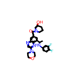 CC(Nc1ccc(F)c(F)c1)c1cc(C(=O)N2CCCC(O)C2)cc2ncc(N3CCOCC3)nc12